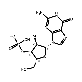 Nc1nc2c(ncn2[C@@H]2O[C@H](CO)[C@@H](OP(=O)(O)O)[C@H]2S)c(=O)[nH]1